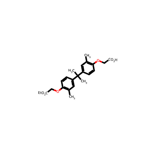 CCOC(=O)COc1ccc(C(C)(C)c2ccc(OCC(=O)O)c(C)c2)cc1C